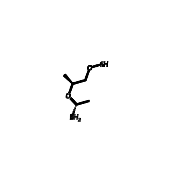 B[C@@H](C)O[C@@H](C)COS